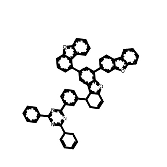 C1=CCC(c2nc(-c3ccccc3)nc(-c3cccc(C4CC=Cc5oc6c(-c7ccc8c(c7)oc7ccccc78)cc(-c7cccc8oc9ccccc9c78)cc6c54)c3)n2)C=C1